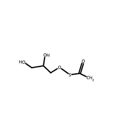 CC(=O)SOCC(O)CO